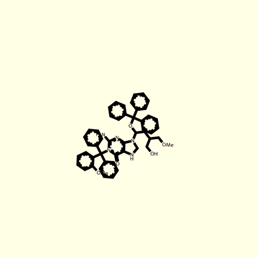 COCC(CO)CC(OC(c1ccccc1)(c1ccccc1)c1ccccc1)N1CNc2c1nc(N)n(C(c1ccccc1)(c1ccccc1)c1ccccc1OC)c2=O